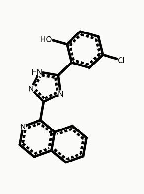 Oc1ccc(Cl)cc1-c1nc(-c2nccc3ccccc23)n[nH]1